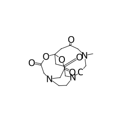 CN1CCN2CCN3CC(=O)OC(CC(=O)C1)(CC(=O)C2)OC(=O)C3